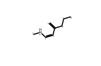 C=C(/C=C\NC)CCC